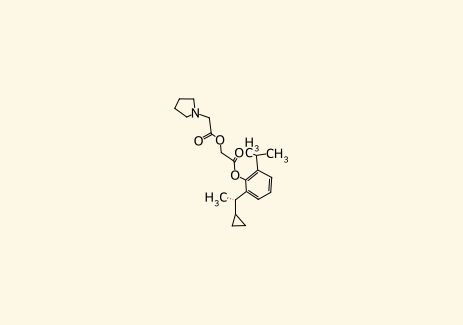 CC(C)c1cccc([C@@H](C)C2CC2)c1OC(=O)COC(=O)CN1CCCC1